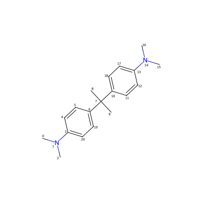 CN(C)c1ccc(C(C)(C)c2ccc(N(C)C)cc2)cc1